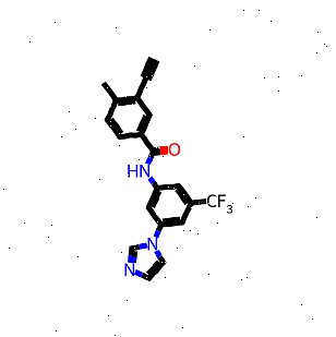 C#Cc1cc(C(=O)Nc2cc(-n3ccnc3)cc(C(F)(F)F)c2)ccc1C